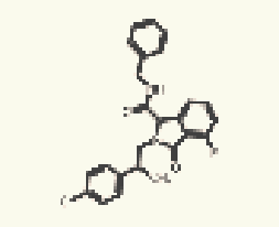 CC(CN1C(=O)c2c(F)cccc2C1C(=O)NCc1ccccc1)c1ccc(Cl)cc1